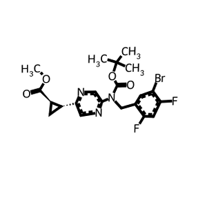 COC(=O)[C@@H]1C[C@H]1c1cnc(N(Cc2cc(Br)c(F)cc2F)C(=O)OC(C)(C)C)cn1